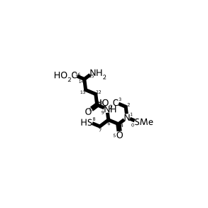 CSN(CC(=O)O)C(=O)C(CS)NC(=O)CCC(N)C(=O)O